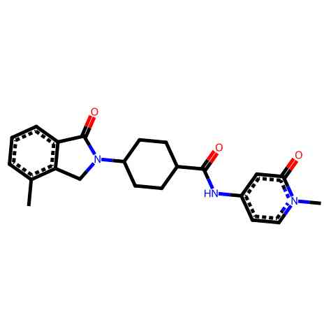 Cc1cccc2c1CN(C1CCC(C(=O)Nc3ccn(C)c(=O)c3)CC1)C2=O